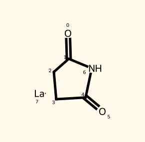 O=C1CCC(=O)N1.[La]